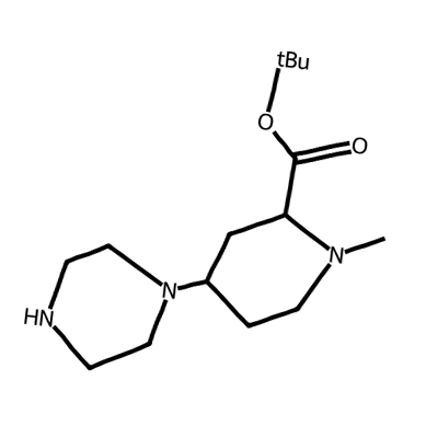 CN1CCC(N2CCNCC2)CC1C(=O)OC(C)(C)C